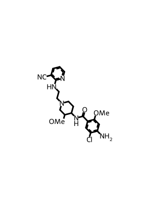 COc1cc(N)c(Cl)cc1C(=O)NC1CCN(CCNc2ncccc2C#N)CC1OC